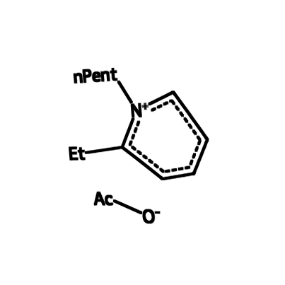 CC(=O)[O-].CCCCC[n+]1ccccc1CC